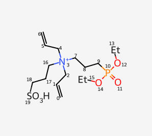 C=CC[N+](CC=C)(CCCP(=O)(OCC)OCC)CCCS(=O)(=O)O